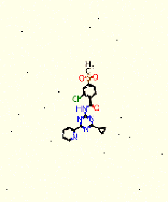 CS(=O)(=O)c1ccc(C(=O)Nc2nc(-c3ccccn3)nc(C3CC3)n2)c(Cl)c1